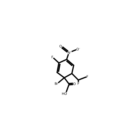 O=C(O)C1(Br)C=C(F)C([N+](=O)[O-])=CC1C(F)F